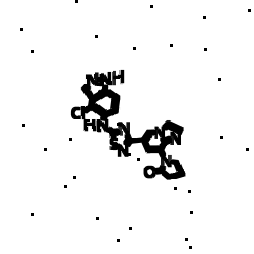 O=C1CCCN1c1cc(-c2nsc(Nc3ccc4[nH]ncc4c3Cl)n2)cn2ccnc12